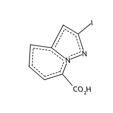 O=C(O)c1cccc2cc(I)nn12